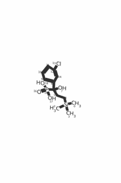 C[Si](C)(C)CCC(O)(c1cccc(Cl)c1)P(=O)(O)O